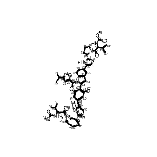 COC(=O)NC(C(=O)N1CCC[C@H]1c1ncc(-c2ccc3c(c2)cc2n3C(c3cc(C(C)C)no3)Oc3cc(-c4cnc([C@@H]5CCCN5C(=O)[C@@H](NC(=O)OC)C(C)C)[nH]4)cc(F)c3-2)[nH]1)C(C)C